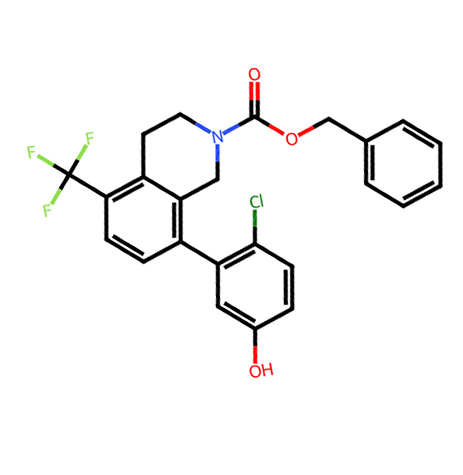 O=C(OCc1ccccc1)N1CCc2c(C(F)(F)F)ccc(-c3cc(O)ccc3Cl)c2C1